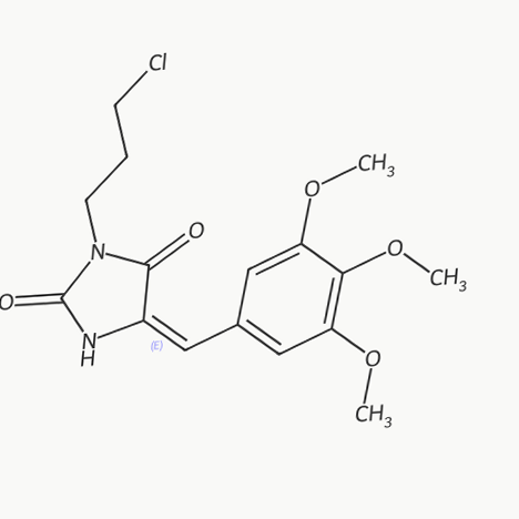 COc1cc(/C=C2/NC(=O)N(CCCCl)C2=O)cc(OC)c1OC